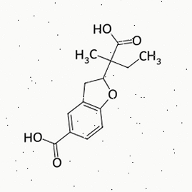 CCC(C)(C(=O)O)C1Cc2cc(C(=O)O)ccc2O1